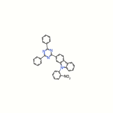 O=[N+]([O-])c1ccccc1-n1c2ccccc2c2ccc(-c3nc(-c4ccccc4)nc(-c4ccccc4)n3)cc21